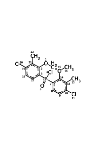 COc1c(P(=O)(Cl)c2ccc(Cl)c(C)c2OC)ccc(Cl)c1C